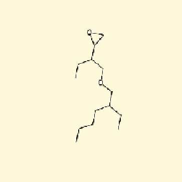 CCCCC(CC)COCC(CC)C1CO1